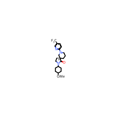 COC1CCC(N2CC[C@@]3(CCCN(c4ccc(C(F)(F)F)cn4)C3)C2=O)CC1